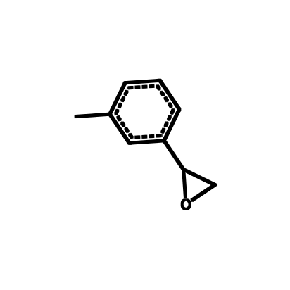 Cc1cccc(C2CO2)c1